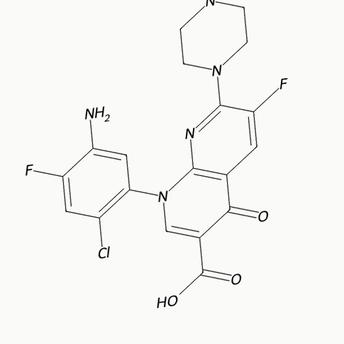 Nc1cc(-n2cc(C(=O)O)c(=O)c3cc(F)c(N4CCNCC4)nc32)c(Cl)cc1F